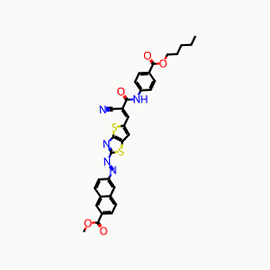 CCCCCOC(=O)c1ccc(NC(=O)/C(C#N)=C/c2cc3sc(/N=N/c4ccc5cc(C(=O)OC)ccc5c4)nc3s2)cc1